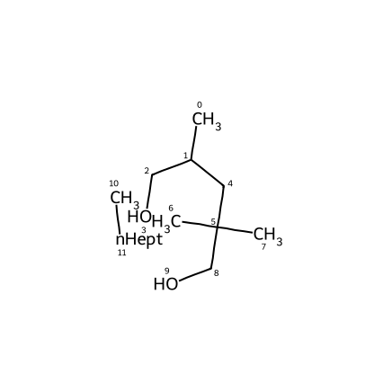 CC(CO)CC(C)(C)CO.CCCCCCCC